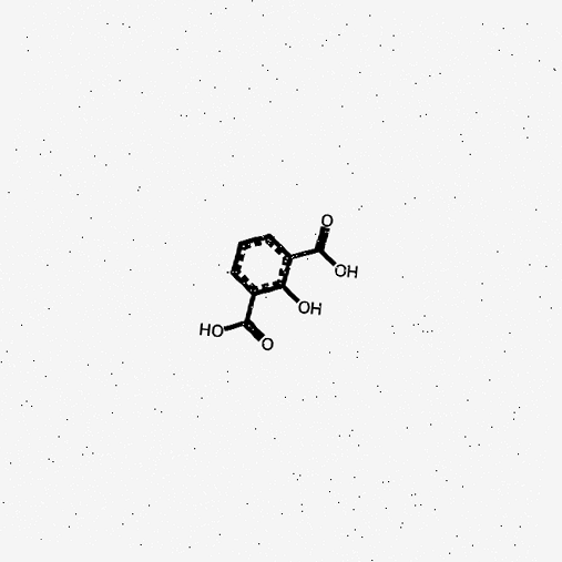 O=C(O)c1[c]ccc(C(=O)O)c1O